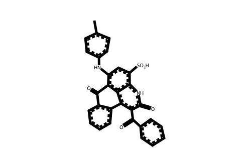 Cc1ccc(Nc2cc(S(=O)(=O)O)c3[nH]c(=O)c(C(=O)c4ccccc4)c4c3c2C(=O)c2ccccc2-4)cc1